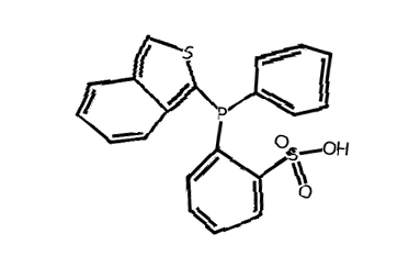 O=S(=O)(O)c1ccccc1P(c1ccccc1)c1scc2ccccc12